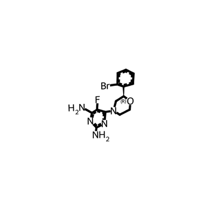 Nc1nc(N)c(F)c(N2CCO[C@H](c3ccccc3Br)C2)n1